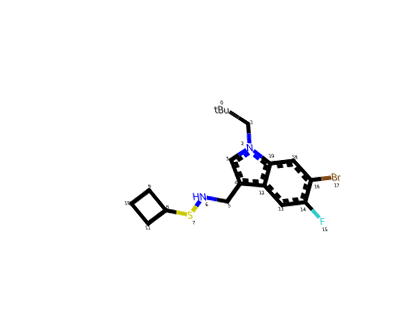 CC(C)(C)Cn1cc(CNSC2CCC2)c2cc(F)c(Br)cc21